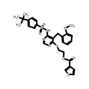 COc1ccccc1Cc1c(NS(=O)(=O)c2ccc(C(C)(C)C)cc2)ncnc1OCCOC(=O)c1ccoc1